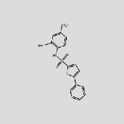 COc1cc(C(=O)O)ccc1NS(=O)(=O)c1ccc(-c2ccccc2)s1